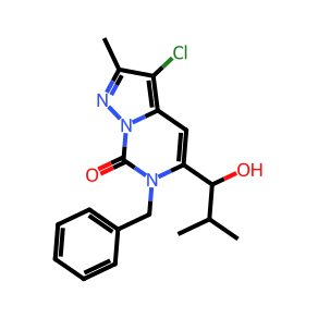 Cc1nn2c(=O)n(Cc3ccccc3)c(C(O)C(C)C)cc2c1Cl